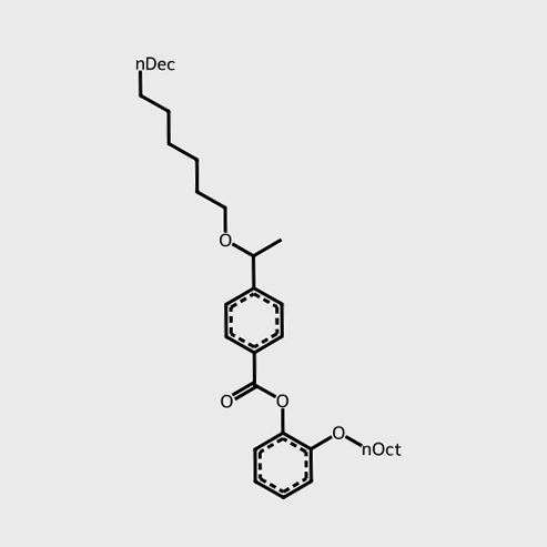 CCCCCCCCCCCCCCCCOC(C)c1ccc(C(=O)Oc2ccccc2OCCCCCCCC)cc1